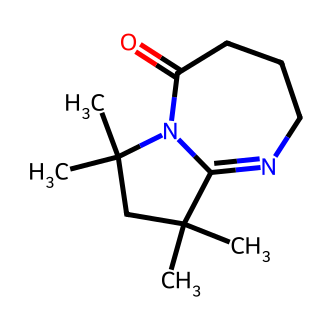 CC1(C)CC(C)(C)N2C(=O)CCCN=C21